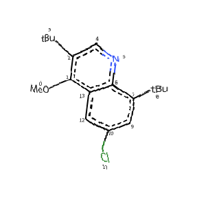 COc1c(C(C)(C)C)cnc2c(C(C)(C)C)cc(Cl)cc12